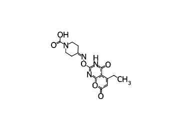 CCc1cc(=O)oc2nc(ON=C3CCN(C(=O)O)CC3)[nH]c(=O)c12